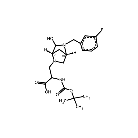 CC(C)(C)OC(=O)NC(CN1C[C@@H]2C[C@H]1C(O)N2Cc1cccc(F)c1)C(=O)O